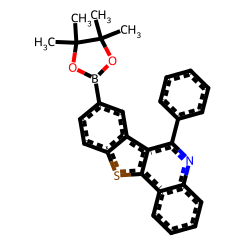 CC1(C)OB(c2ccc3sc4c5ccccc5nc(-c5ccccc5)c4c3c2)OC1(C)C